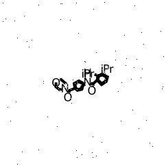 CC(C)c1cccc(C(=O)Nc2ccc(C(=O)N3CCOCC3)cc2)c1C(C)C